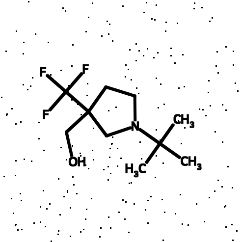 CC(C)(C)N1CCC(CO)(C(F)(F)F)C1